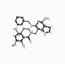 Cc1nc(OCc2ccccc2)c(CN2CCc3c(Cl)cc(Br)c(Cl)c3C2=O)c2occc12